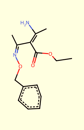 CCOC(=O)C(/C(C)=N\OCc1ccccc1)=C(\C)N